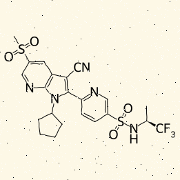 C[C@H](NS(=O)(=O)c1ccc(-c2c(C#N)c3cc(S(C)(=O)=O)cnc3n2C2CCCC2)nc1)C(F)(F)F